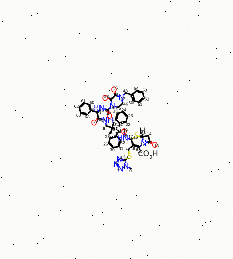 Cn1nnnc1SCC1=C(C(=O)O)N2C(=O)C[C@H]2SC1NO[Si](c1ccccc1)(c1ccccc1)C(C)(C)CNC(=O)C(NC(=O)N1CCN(Cc2ccccc2)C(=O)C1=O)c1ccccc1